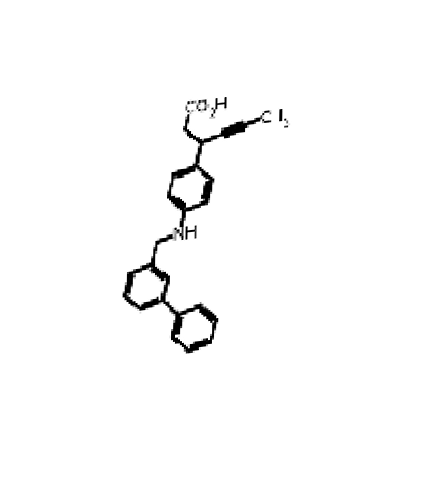 CC#CC(CC(=O)O)c1ccc(NCc2cccc(-c3ccccc3)c2)cc1